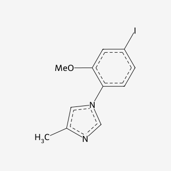 COc1cc(I)ccc1-n1cnc(C)c1